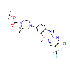 COc1cc(N2CCN(C(=O)OC(C)(C)C)[C@H](C)C2)ccc1Nc1ncc(C(F)(F)F)c(Cl)n1